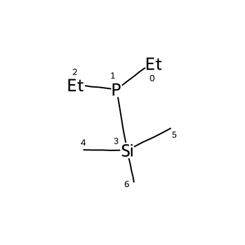 CCP(CC)[Si](C)(C)C